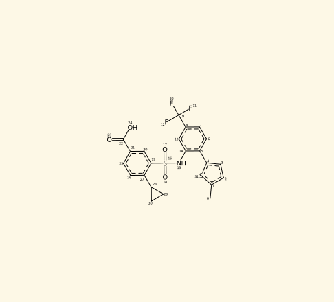 Cc1ccc(-c2ccc(C(F)(F)F)cc2NS(=O)(=O)c2cc(C(=O)O)ccc2C2CC2)s1